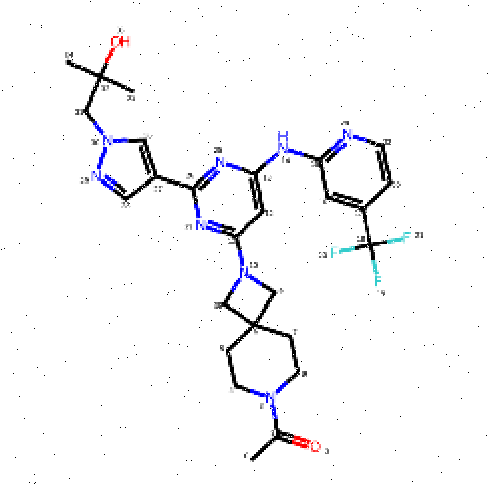 CC(=O)N1CCC2(CC1)CN(c1cc(Nc3cc(C(F)(F)F)ccn3)nc(-c3cnn(CC(C)(C)O)c3)n1)C2